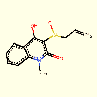 C=CC[S+]([O-])c1c(O)c2ccccc2n(C)c1=O